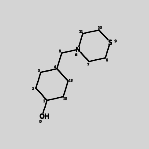 OC1CCC(CN2CCSCC2)CC1